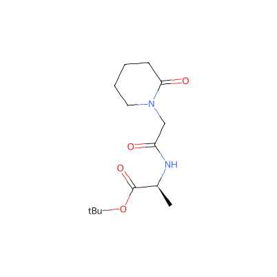 C[C@H](NC(=O)CN1CCCCC1=O)C(=O)OC(C)(C)C